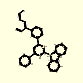 C=C/C(=C\C=C/C)c1cccc(-c2cc(-c3ccccc3)nc(-n3c4ccccc4c4ccccc43)n2)c1